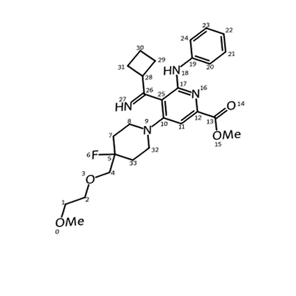 COCCOCC1(F)CCN(c2cc(C(=O)OC)nc(Nc3ccccc3)c2C(=N)C2CCC2)CC1